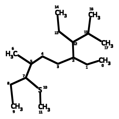 CCC(CCC(C)C(CC)SC)C(CC)C(C)C